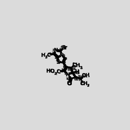 Cc1nc(Br)n2cc(C3=C(C(=O)O)N4C(=O)[C@H]([C@@H](C)O)[C@H]4[C@H]3C)sc12